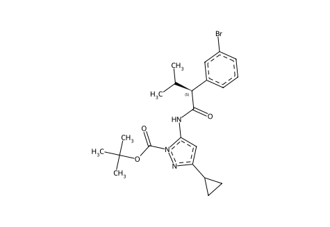 CC(C)[C@H](C(=O)Nc1cc(C2CC2)nn1C(=O)OC(C)(C)C)c1cccc(Br)c1